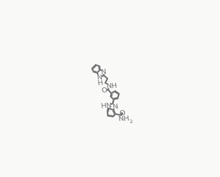 NC(=O)c1cccc2[nH]c(-c3cccc(C(=O)NCCc4nc5ccccc5[nH]4)c3)nc12